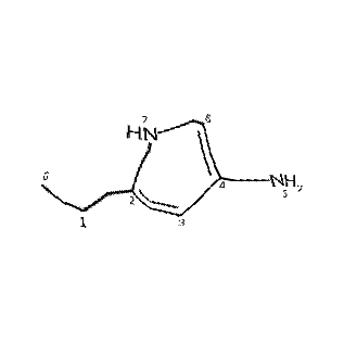 CCc1cc(N)c[nH]1